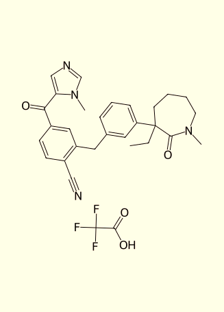 CCC1(c2cccc(Cc3cc(C(=O)c4cncn4C)ccc3C#N)c2)CCCCN(C)C1=O.O=C(O)C(F)(F)F